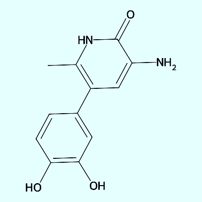 Cc1[nH]c(=O)c(N)cc1-c1ccc(O)c(O)c1